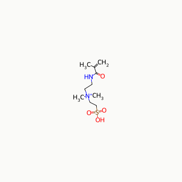 C=C(C)C(=O)NCC[N+](C)(C)CCS(=O)(=O)O